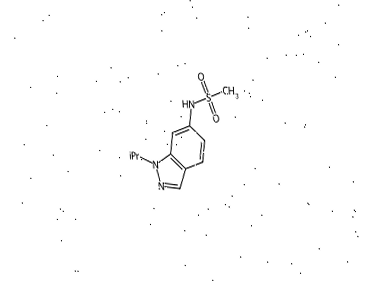 CC(C)n1ncc2ccc(NS(C)(=O)=O)cc21